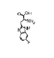 NC(Cc1nc2ccc(F)cc2[nH]1)C(=O)O